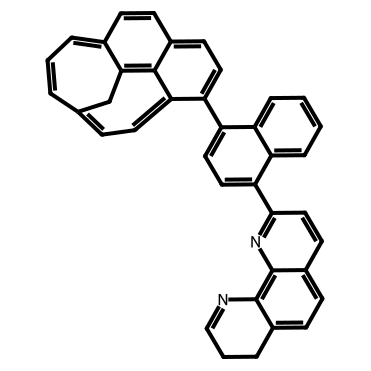 C1=CC2=CC=c3c(-c4ccc(-c5ccc6ccc7c(c6n5)N=CCC7)c5ccccc45)ccc4ccc(c(c34)C2)=C1